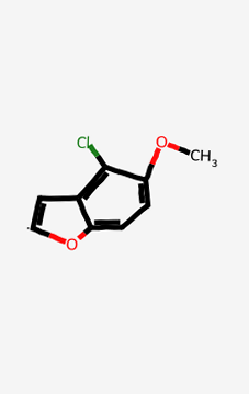 COc1ccc2o[c]cc2c1Cl